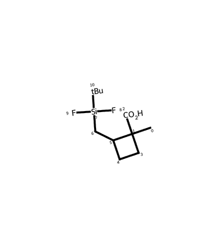 CC1(C(=O)O)CCC1C[Si](F)(F)C(C)(C)C